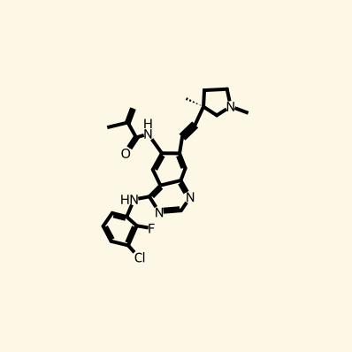 C=C(C)C(=O)Nc1cc2c(Nc3cccc(Cl)c3F)ncnc2cc1C#C[C@@]1(C)CCN(C)C1